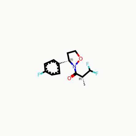 C[C@H](C(=O)N1OCC[C@H]1c1ccc(F)cc1)C(F)F